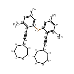 CC(C)c1cc(Sc2cc(C(C)C)cc(C(F)(F)F)c2C#CC2CCCCCC2)c(C#CC2CCCCCC2)c(C(F)(F)F)c1